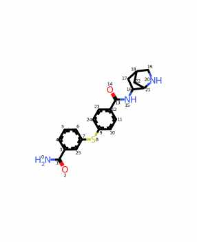 NC(=O)c1cccc(Sc2ccc(C(=O)NC3CC4CNC3C4)cc2)c1